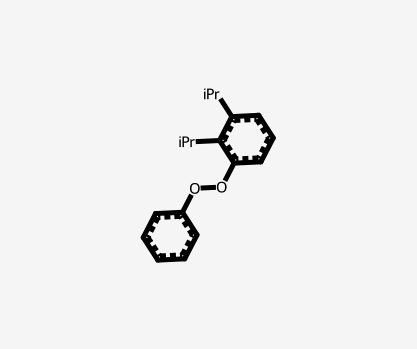 CC(C)c1cccc(OOc2ccccc2)c1C(C)C